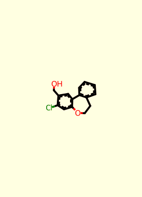 OCc1cc2c(cc1Cl)OCCc1ccccc1-2